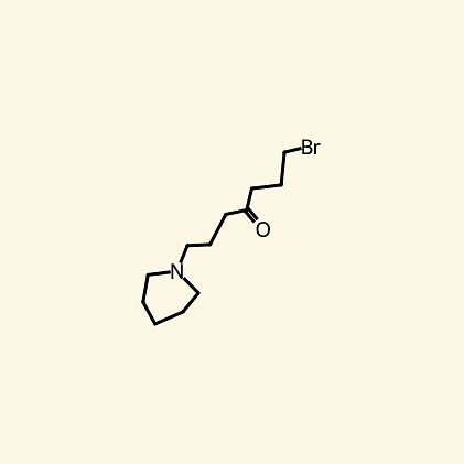 O=C(CCCBr)CCCN1CCCCC1